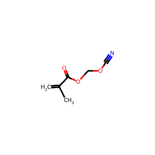 C=C(C)C(=O)OCOC#N